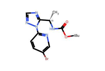 C[C@H](NC(=O)OC(C)(C)C)c1ncnn1-c1ccc(Br)cn1